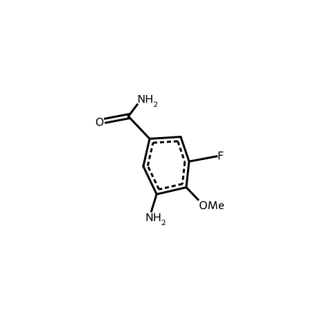 COc1c(N)cc(C(N)=O)cc1F